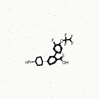 CCC[C@H]1CC[C@H](c2ccc(C(O)=S)c(-c3ccc(OC(F)(F)C(F)F)c(F)c3)c2)CC1